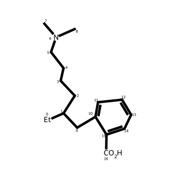 CCC(CCCCN(C)C)Cc1ccccc1C(=O)O